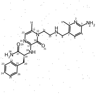 Cc1nc(N)ccc1CNCCn1c(C)cnc(N[C@@H](Cc2ccccc2)C(N)=O)c1=O